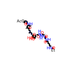 CCC(=O)NCCCCCC(=O)NCC(=O)N[C@@H](C)C(=O)NNC(=O)C[C@@H]1C[C@](C)(O)C(O)[C@@H](/C=C/C(C)=C/C[C@@H]2O[C@H](C)[C@H](NC(=O)/C=C\[C@H](C)OC(C)=O)C[C@@H]2C)O1